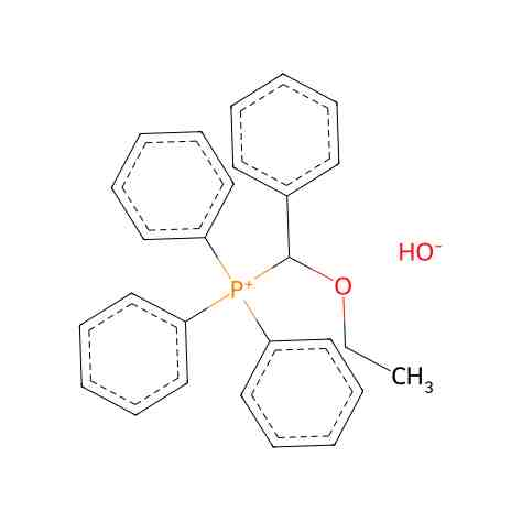 CCOC(c1ccccc1)[P+](c1ccccc1)(c1ccccc1)c1ccccc1.[OH-]